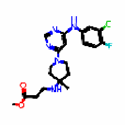 COC(=O)CCNC1(C)CCN(c2cc(Nc3ccc(F)c(Cl)c3)ncn2)CC1